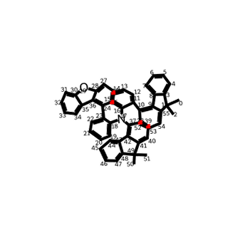 CC1(C)c2ccccc2-c2c(-c3ccccc3N(c3ccccc3-c3cccc4oc5ccccc5c34)c3cccc4c3-c3ccccc3C4(C)C)cccc21